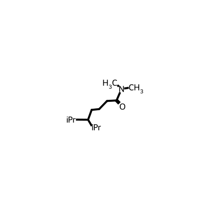 CC(C)C(CCCC(=O)N(C)C)C(C)C